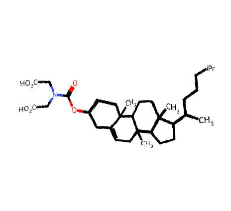 CC(C)CCCC(C)C1CCC2C1(C)CCC1C3(C)CCC(OC(=O)N(CC(=O)O)CC(=O)O)CC3=CCC12C